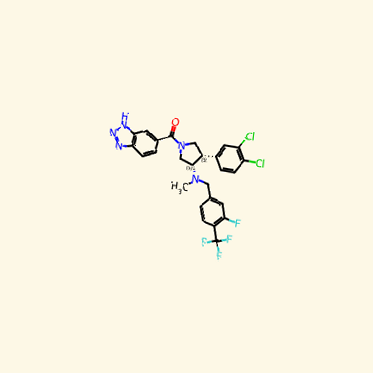 CN(Cc1ccc(C(F)(F)F)c(F)c1)[C@@H]1CN(C(=O)c2ccc3nn[nH]c3c2)C[C@@H]1c1ccc(Cl)c(Cl)c1